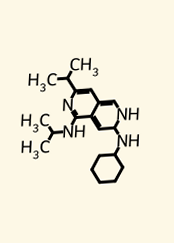 CC(C)Nc1nc(C(C)C)cc2c1=CC(NC1CCCCC1)NC=2